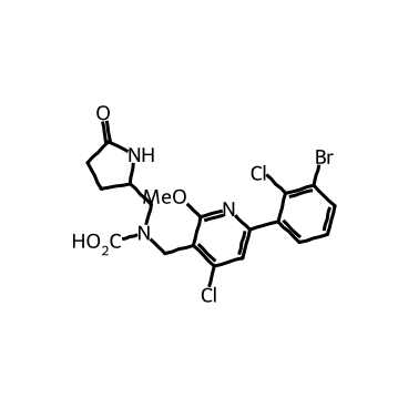 COc1nc(-c2cccc(Br)c2Cl)cc(Cl)c1CN(CC1CCC(=O)N1)C(=O)O